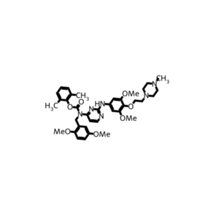 COc1ccc(OC)c(CN(C(=O)Oc2c(C)cccc2C)c2ccnc(Nc3cc(OC)c(OCCN4CCN(C)CC4)c(OC)c3)n2)c1